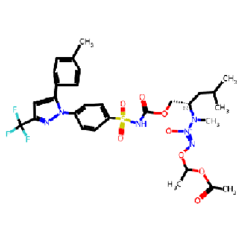 CC(=O)OC(C)ON=[N+]([O-])N(C)[C@H](COC(=O)NS(=O)(=O)c1ccc(-n2nc(C(F)(F)F)cc2-c2ccc(C)cc2)cc1)CC(C)C